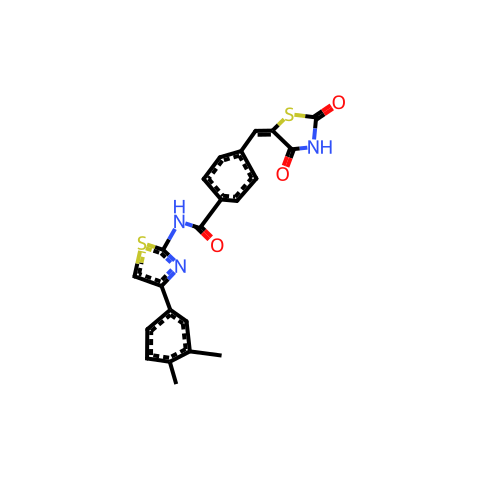 Cc1ccc(-c2csc(NC(=O)c3ccc(C=C4SC(=O)NC4=O)cc3)n2)cc1C